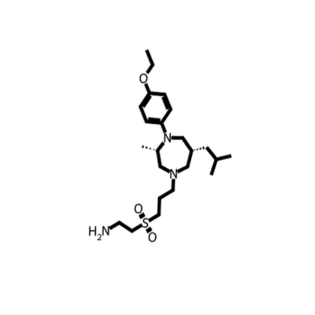 CCOc1ccc(N2C[C@H](CC(C)C)CN(CCCS(=O)(=O)CCN)C[C@@H]2C)cc1